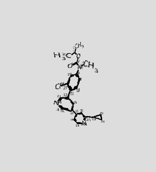 CC(C)OC(=O)N(C)c1ccc(-c2cncc(-c3ccnc(C4CC4)c3)c2)c(Cl)c1